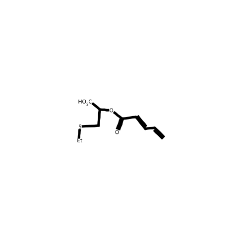 C=C/C=C/C(=O)OC(CSCC)C(=O)O